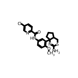 COc1ccc(NC(=O)c2ccc(Cl)cn2)cc1C12CCCC1CSC(N)=N2